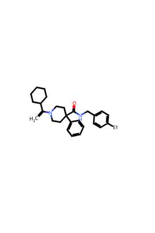 C=C(C1CCCCC1)N1CCC(C(=O)NCc2ccc(CC)cc2)(c2ccccc2)CC1